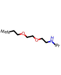 CNCCOCCOCCNC(C)C